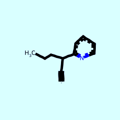 [C]#CC(CCC)c1ccccn1